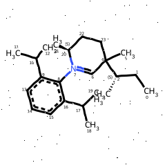 CC[C@H](C)C1(C)C=[N+](c2c(C(C)C)cccc2C(C)C)[C@@H](C)CC1